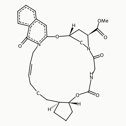 COC(=O)[C@@H]1C[C@@H]2CN1C(=O)CNC(=O)O[C@@H]1CCC[C@H]1CCC/C=C/Cn1c(cc3ccccc3c1=O)O2